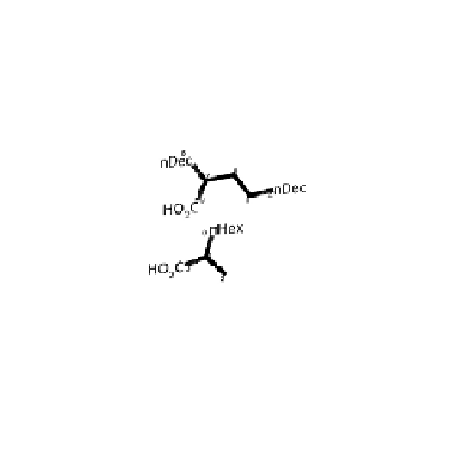 CCCCCCC(C)C(=O)O.CCCCCCCCCCCCC(CCCCCCCCCC)C(=O)O